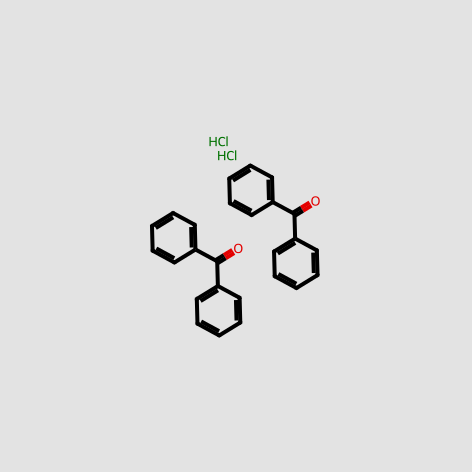 Cl.Cl.O=C(c1ccccc1)c1ccccc1.O=C(c1ccccc1)c1ccccc1